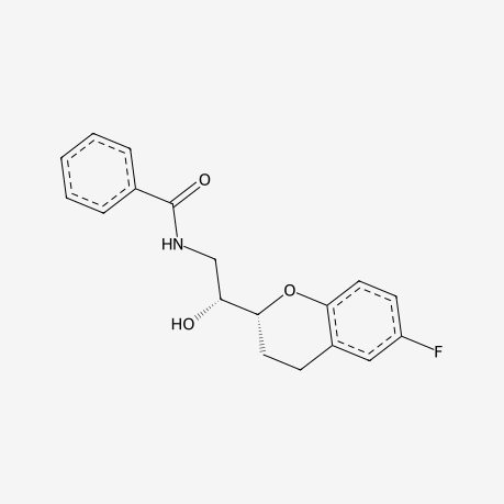 O=C(NC[C@@H](O)[C@H]1CCc2cc(F)ccc2O1)c1ccccc1